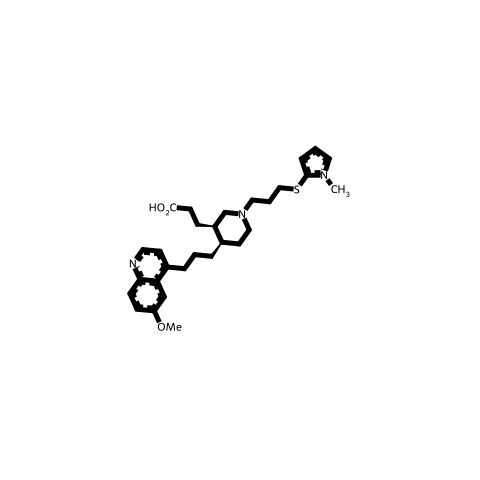 COc1ccc2nccc(CCC[C@@H]3CCN(CCCSc4cccn4C)C[C@@H]3CCC(=O)O)c2c1